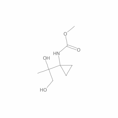 COC(=O)NC1(C(C)(O)CO)CC1